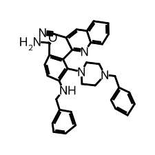 N#Cc1cc2ccccc2nc1-c1c(C(N)=O)ccc(NCc2ccccc2)c1N1CCN(Cc2ccccc2)CC1